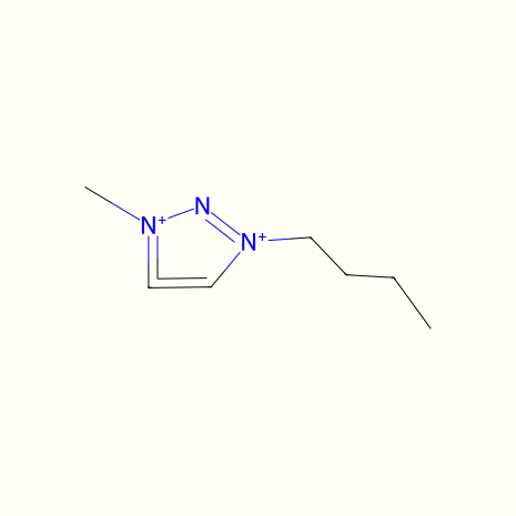 CCCC[N+]1=N[N+](C)=C=C1